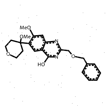 COc1cc2nc(COCc3ccccc3)nc(O)c2cc1C1(OC)CCOCC1